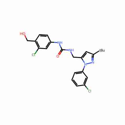 CC(C)(C)c1cc(CNC(=O)Nc2ccc(CO)c(Cl)c2)n(-c2cccc(Cl)c2)n1